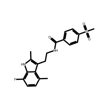 Cc1[nH]c2c(F)ccc(C)c2c1CCNC(=O)c1ccc(S(C)(=O)=O)cc1